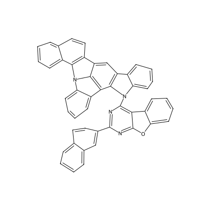 c1ccc2cc(-c3nc(-n4c5ccccc5c5cc6c7ccc8ccccc8c7n7c8ccccc8c(c54)c67)c4c(n3)oc3ccccc34)ccc2c1